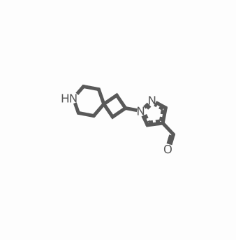 O=Cc1cnn(C2CC3(CCNCC3)C2)c1